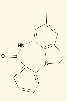 Cc1cc2c3c(c1)NC(=O)c1ccccc1N3CC2